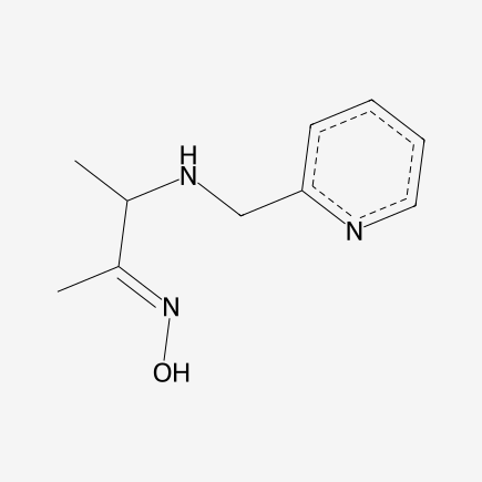 CC(=NO)C(C)NCc1ccccn1